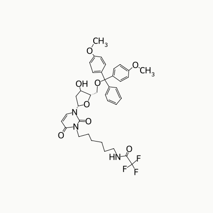 COc1ccc(C(OC[C@@H]2O[C@H](n3ccc(=O)n(CCCCCCNC(=O)C(F)(F)F)c3=O)CC2O)(c2ccccc2)c2ccc(OC)cc2)cc1